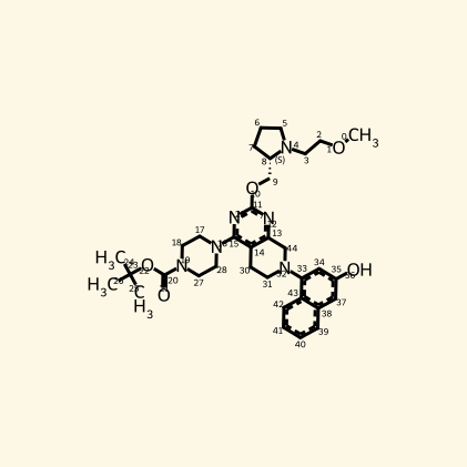 COCCN1CCC[C@H]1COc1nc2c(c(N3CCN(C(=O)OC(C)(C)C)CC3)n1)CCN(c1cc(O)cc3ccccc13)C2